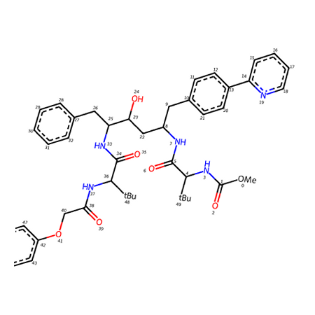 COC(=O)NC(C(=O)NC(Cc1ccc(-c2ccccn2)cc1)CC(O)C(Cc1ccccc1)NC(=O)C(NC(=O)COc1ccccc1)C(C)(C)C)C(C)(C)C